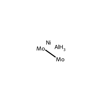 [AlH3].[Mo][Mo].[Ni]